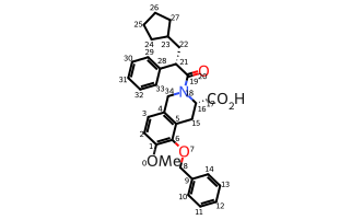 COc1ccc2c(c1OCc1ccccc1)C[C@@H](C(=O)O)N(C(=O)[C@@H](CC1CCCC1)c1ccccc1)C2